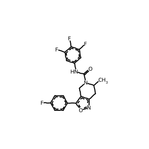 CC1Cc2noc(-c3ccc(F)cc3)c2CN1C(=O)Nc1cc(F)c(F)c(F)c1